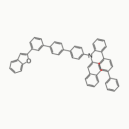 c1ccc(-c2ccc(-c3ccccc3N(c3ccc(-c4ccc(-c5cccc(-c6cc7ccccc7o6)c5)cc4)cc3)c3ccc4ccccc4c3)cc2)cc1